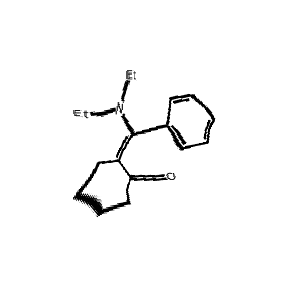 CCN(CC)C(=C1CCCCC1=O)c1ccccc1